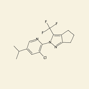 CC(C)c1cnc(-n2nc3c(c2C(F)(F)F)CCC3)c(Cl)c1